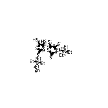 CC[N+](CC)(CC)CC.CC[N+](CC)(CC)CC.S=c1sc(S)c(S)s1.S=c1sc([S-])c([S-])s1.[Zn]